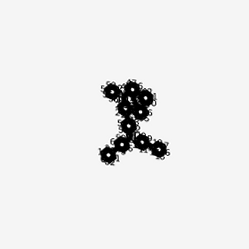 c1ccc(-c2ccc(N(c3ccc(-c4ccccc4)cc3)c3ccc(-c4ccc5c(c4)S(c4ccccc4)(c4ccccc4)c4ccccc4N5c4ccccc4)cc3)cc2)cc1